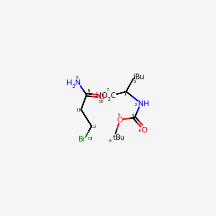 CCC(C)C(NC(=O)OC(C)(C)C)C(=O)O.NC(=O)CCBr